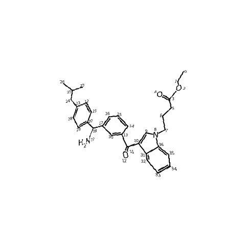 CCOC(=O)CCCn1cc(C(=O)c2cccc(C(N)c3ccc(CC(C)C)cc3)c2)c2ccccc21